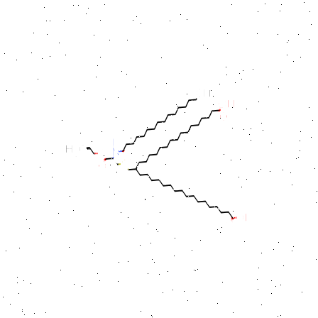 C=CCOC(=O)[C@H](CSCC(CCCCCCCCCCCCCCCCC(=O)O)CCCCCCCCCCCCCCCC(=O)O)NC(=O)CCCCCCCCCCCCCCC